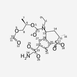 CCN(C(=O)O[C@H](C)COC(C)=O)[C@H]1C[C@H](C)S(=O)(=O)c2sc(S(N)(=O)=O)cc21